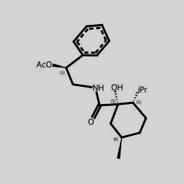 CC(=O)O[C@H](CNC(=O)[C@]1(O)C[C@H](C)CC[C@H]1C(C)C)c1ccccc1